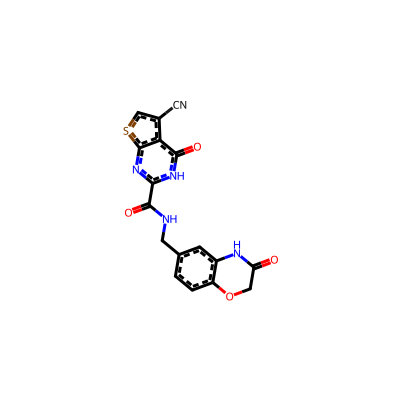 N#Cc1csc2nc(C(=O)NCc3ccc4c(c3)NC(=O)CO4)[nH]c(=O)c12